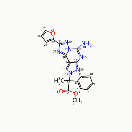 COC(=O)C(C)(c1ccccc1)n1cc2c(nc(N)n3nc(-c4ccco4)nc23)n1